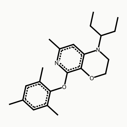 CCC(CC)N1CCOc2c1cc(C)nc2Oc1c(C)cc(C)cc1C